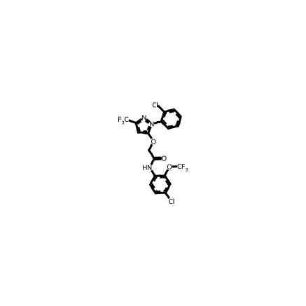 O=C(COc1cc(C(F)(F)F)nn1-c1ccccc1Cl)Nc1ccc(Cl)cc1OC(F)(F)F